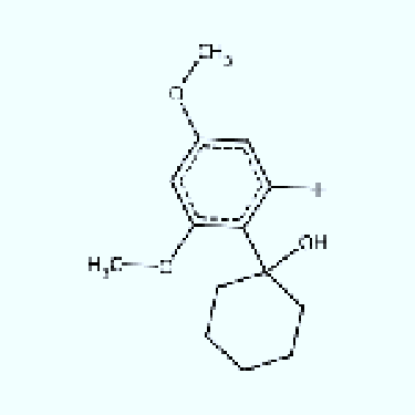 COc1cc(F)c(C2(O)CCCCC2)c(OC)c1